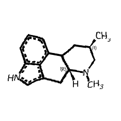 C[C@@H]1CC2c3cccc4[nH]cc(c34)C[C@H]2N(C)C1